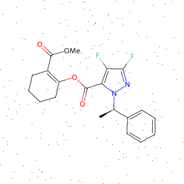 COC(=O)C1=C(OC(=O)c2c(F)c(F)nn2[C@H](C)c2ccccc2)CCCC1